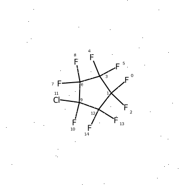 FC1(F)C(F)(F)C(F)(F)C(F)(Cl)C1(F)F